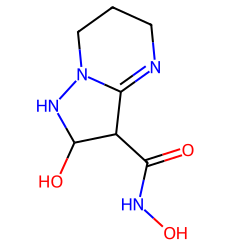 O=C(NO)C1C2=NCCCN2NC1O